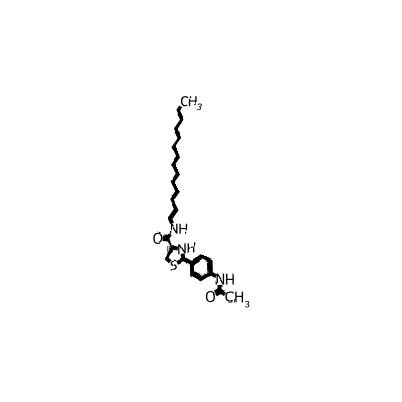 CCCCCCCCCCCCCCNC(=O)[C@@H]1CSC(c2ccc(NC(C)=O)cc2)N1